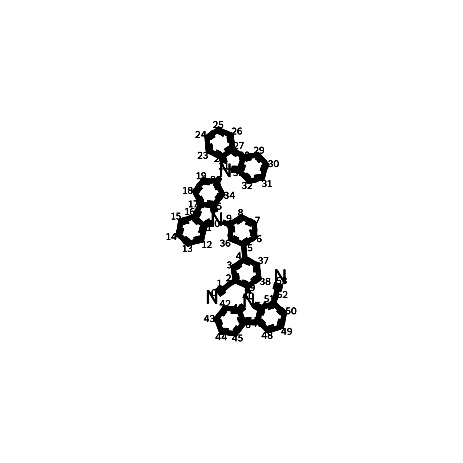 N#Cc1cc(-c2cccc(-n3c4ccccc4c4ccc(-n5c6ccccc6c6ccccc65)cc43)c2)ccc1-n1c2ccccc2c2cccc(C#N)c21